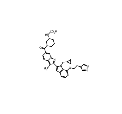 Cc1c(-c2cc3ccnc(OCCn4cnnc4)c3n2CC2CC2)nn2cc(C(=O)N3CCC[C@@H](NC(=O)O)C3)ccc12